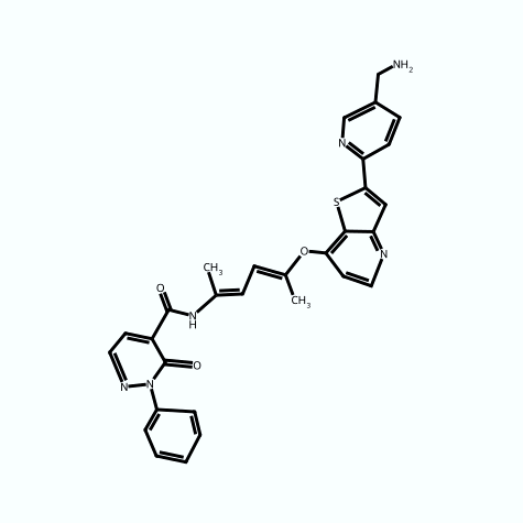 C/C(=C\C=C(/C)Oc1ccnc2cc(-c3ccc(CN)cn3)sc12)NC(=O)c1ccnn(-c2ccccc2)c1=O